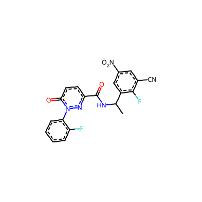 CC(NC(=O)c1ccc(=O)n(-c2ccccc2F)n1)c1cc([N+](=O)[O-])cc(C#N)c1F